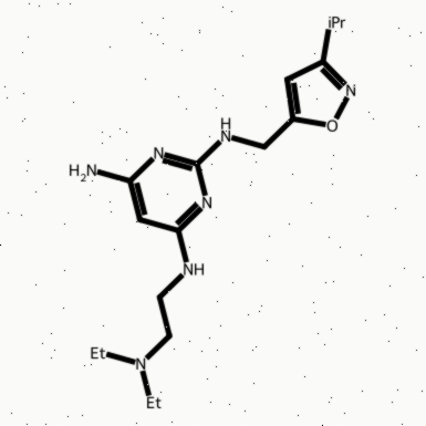 CCN(CC)CCNc1cc(N)nc(NCc2cc(C(C)C)no2)n1